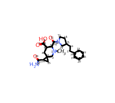 CN1CC2(CC(C(=O)O)C1C(=O)N1CCC(CCc3ccccc3)C1)CC2C(N)=O